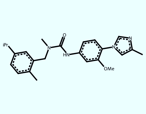 COc1cc(NC(=O)N(C)Cc2cc(C(C)C)ccc2C)ccc1-n1cnc(C)c1